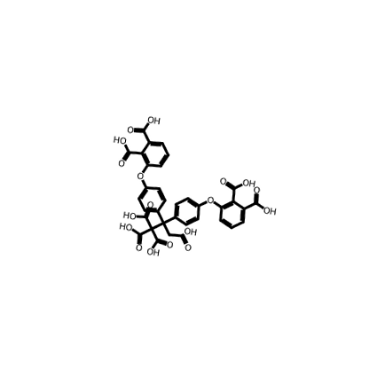 O=C(O)CC(c1ccc(Oc2cccc(C(=O)O)c2C(=O)O)cc1)(c1ccc(Oc2cccc(C(=O)O)c2C(=O)O)cc1)C(C(=O)O)(C(=O)O)C(=O)O